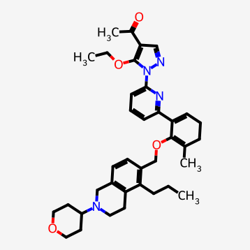 CCCc1c(COC2=C(C)CCC=C2c2cccc(-n3ncc(C(C)=O)c3OCC)n2)ccc2c1CCN(C1CCOCC1)C2